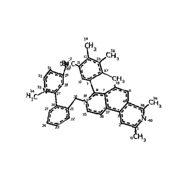 Cc1cc2c(ccc3c(-c4cc(C)c(C)c(C)c4C)[n+](Cc4ccccc4-c4cc(C(C)(C)C)cc[n+]4C)ccc32)c(C)n1